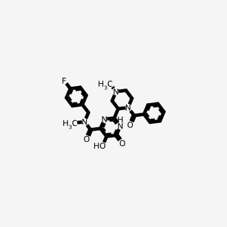 CN1CCN(C(=O)c2ccccc2)C(c2nc(C(=O)N(C)Cc3ccc(F)cc3)c(O)c(=O)[nH]2)C1